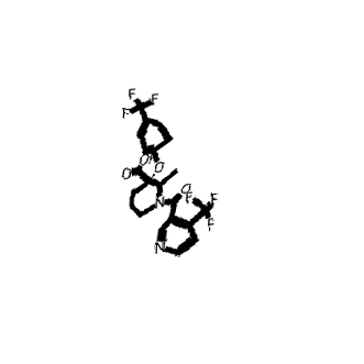 CC1N(C(=O)c2cnccc2C(F)(F)F)CCC[C@@]1(Oc1ccc(C(F)(F)F)cc1)C(=O)O